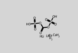 O=C(OS(=O)(=O)O)OS(=O)(=O)O.[CaH2].[CaH2].[LiH].[LiH]